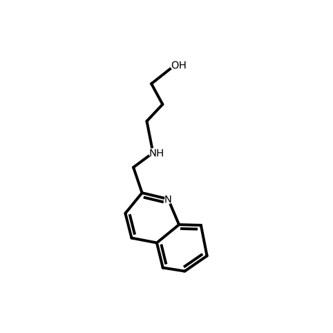 OCCCNCc1ccc2ccccc2n1